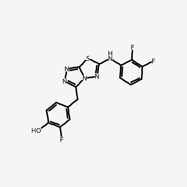 Oc1ccc(Cc2nnc3sc(Nc4cccc(F)c4F)nn23)cc1F